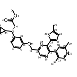 COC(=O)C[C@H](c1cccc(OCc2cnc(-c3cc(C)ncc3F)c(-c3ccc(C)s3)n2)c1)C1CC1